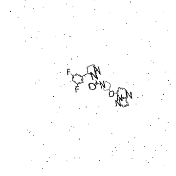 O=C(N1CCC(Oc2ccnc3ccnn23)C1)N1N=CCC1c1cc(F)cc(F)c1